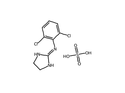 Clc1cccc(Cl)c1N=C1NCCN1.O=S(=O)(O)O